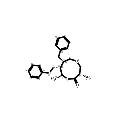 C[C@@H]1OC(=O)[C@@H](N)COC[C@H](Cc2ccccc2)[C@H]1COc1ccccc1